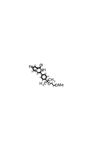 COCCOC(C)(C)c1ccc(-c2cn3cc(F)cc3c(=O)[nH]2)cc1